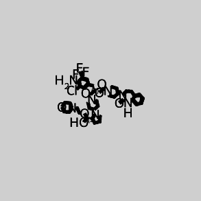 Nc1c(Cl)cc(C[C@@H](OC(=O)N2CCC(N3CCc4ccccc4NC3=O)CC2)C(=O)N2CCC(N3CCC[C@H]3C(O)OCCN3CCOCC3)CC2)cc1C(F)(F)F